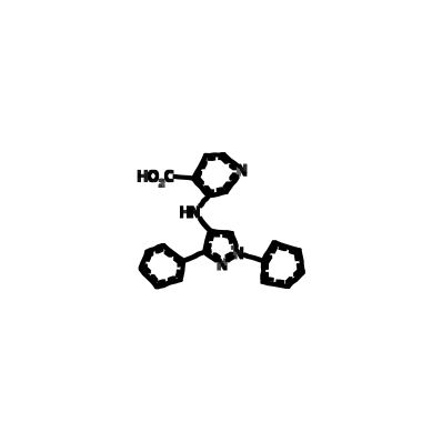 O=C(O)c1ccncc1Nc1cn(-c2ccccc2)nc1-c1ccccc1